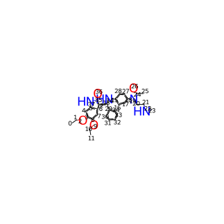 CCOc1cc2c(cc1OCC)/C(=C(/Nc1ccc(N(CCNC)C(C)=O)cc1)c1ccccc1)C(=O)N2